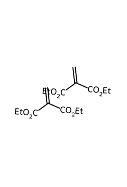 C=C(C(=O)OCC)C(=O)OCC.C=C(C(=O)OCC)C(=O)OCC